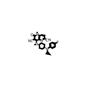 Cn1c(=O)c(C#N)c(N(C)[C@H]2CC[C@@H](N(c3ccc(F)cc3)C3CC3)CC2)c2nc(C#N)ccc21